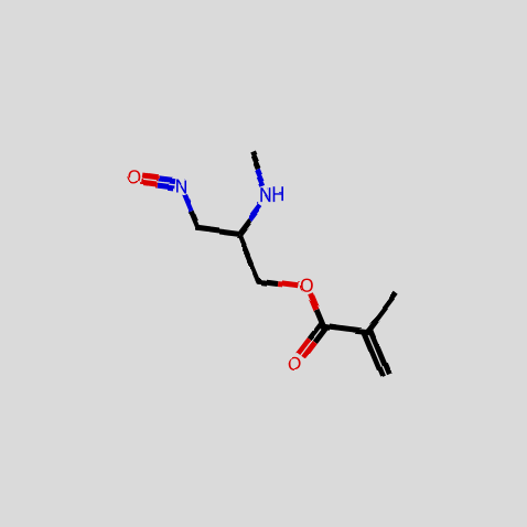 C=C(C)C(=O)OCC(CN=O)NC